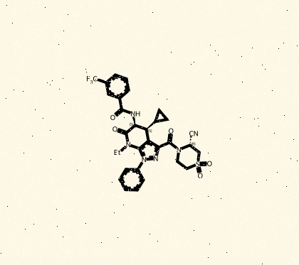 CCN1C(=O)[C@@H](NC(=O)c2cccc(C(F)(F)F)c2)[C@@H](C2CC2)c2c(C(=O)N3CCS(=O)(=O)C[C@H]3C#N)nn(-c3ccccc3)c21